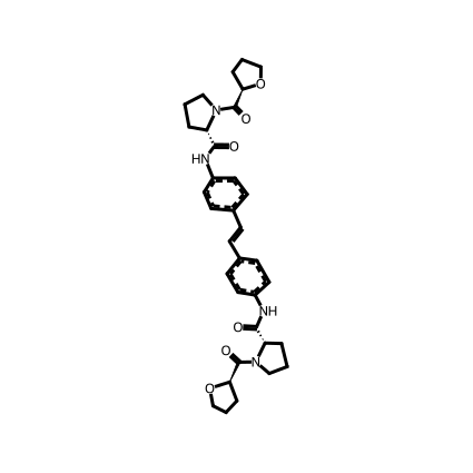 O=C(Nc1ccc(/C=C/c2ccc(NC(=O)[C@@H]3CCCN3C(=O)[C@H]3CCCO3)cc2)cc1)[C@@H]1CCCN1C(=O)[C@H]1CCCO1